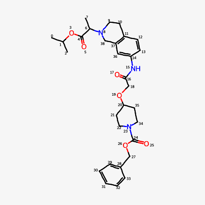 CC(C)OC(=O)C(C)N1CCc2ccc(NC(=O)COC3CCN(C(=O)OCc4ccccc4)CC3)cc2C1